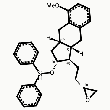 COc1cccc2c1C[C@H]1C[C@@H](O[SiH](c3ccccc3)c3ccccc3)[C@H](CC[C@@H]3CO3)[C@H]1C2